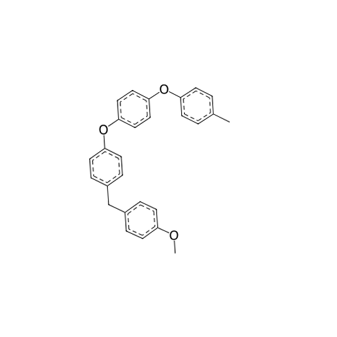 COc1ccc(Cc2ccc(Oc3ccc(Oc4ccc(C)cc4)cc3)cc2)cc1